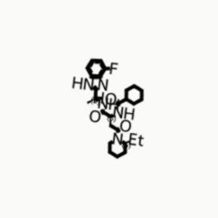 CC[C@H]1CCCCN1C(=O)C[C@H](NC(O)C1CCCCC1)C(=O)N[C@@H](C)c1nc2c(F)cccc2[nH]1